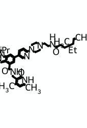 C=CCC(C)(CC)CCC(=O)NCCN1CCN(c2ccc(-c3cc(C(=O)NCc4c(C)cc(C)[nH]c4=O)c4cnn(C(C)C)c4c3)cn2)CC1